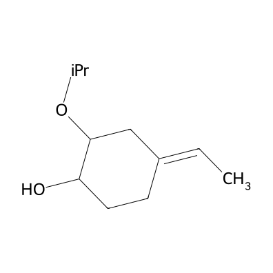 C/C=C1\CCC(O)C(OC(C)C)C1